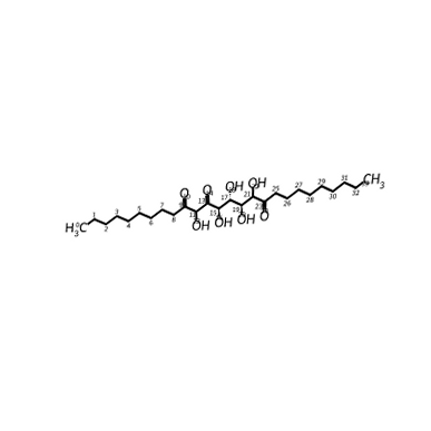 CCCCCCCCCC(=O)C(O)C(=O)[C@H](O)[C@H](O)[C@H](O)C(O)C(=O)CCCCCCCCC